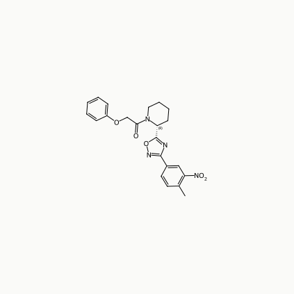 Cc1ccc(-c2noc([C@H]3CCCCN3C(=O)COc3ccccc3)n2)cc1[N+](=O)[O-]